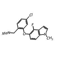 CNCc1ccc(Cl)cc1Oc1ccc2c(ccn2C)c1F